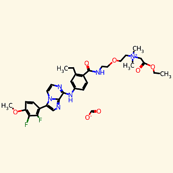 CCOC(=O)C[N+](C)(C)CCOCCNC(=O)c1ccc(Nc2nccn3c(-c4ccc(OC)c(F)c4F)cnc23)cc1CC.O=C[O-]